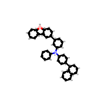 c1ccc(N(c2ccc(-c3cccc4ccccc34)cc2)c2cccc(-c3ccc4oc5ccccc5c4c3)c2)cc1